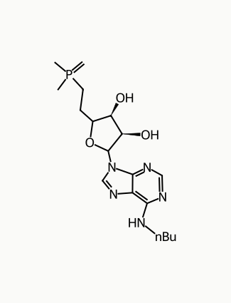 C=P(C)(C)CCC1OC(n2cnc3c(NCCCC)ncnc32)[C@H](O)[C@@H]1O